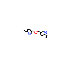 C=Cc1ccc(COCc2ccc(C=C)nc2)cn1